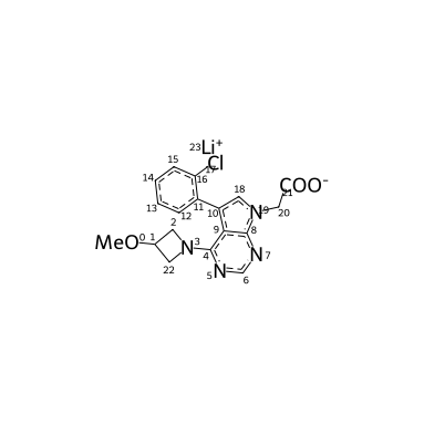 COC1CN(c2ncnc3c2c(-c2ccccc2Cl)cn3CC(=O)[O-])C1.[Li+]